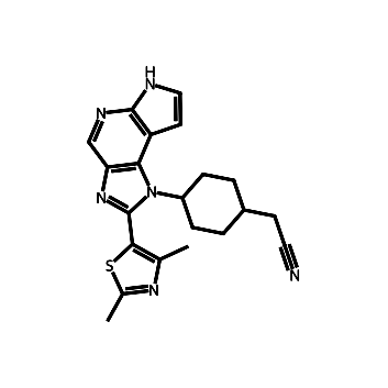 Cc1nc(C)c(-c2nc3cnc4[nH]ccc4c3n2C2CCC(CC#N)CC2)s1